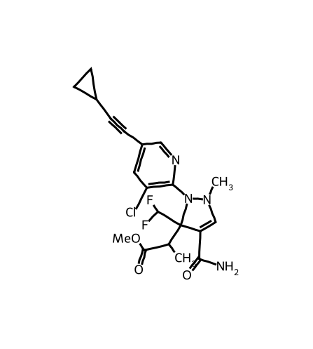 COC(=O)C(C)C1(C(F)F)C(C(N)=O)=CN(C)N1c1ncc(C#CC2CC2)cc1Cl